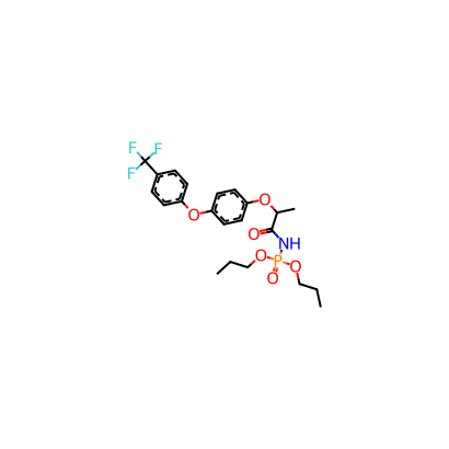 CCCOP(=O)(NC(=O)C(C)Oc1ccc(Oc2ccc(C(F)(F)F)cc2)cc1)OCCC